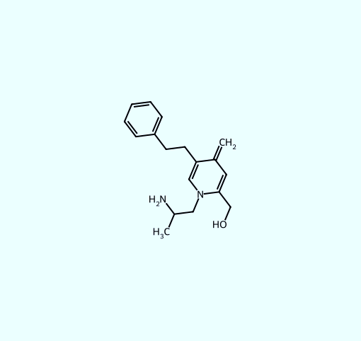 C=C1C=C(CO)N(CC(C)N)C=C1CCc1ccccc1